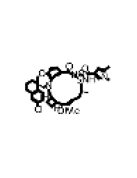 CO[C@H]1/C=C/C[C@H](C)C[S@@](=O)(NC(=O)c2cc(C)n(C)c2)=NC(=O)c2ccc3c(c2)N(C[C@@H]2CC[C@H]21)C[C@@]1(CCCc2cc(Cl)ccc21)CO3